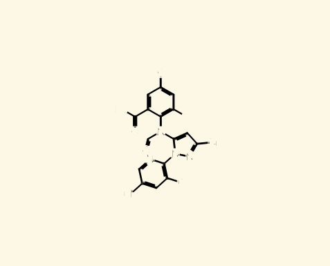 O=CN(c1c(Cl)cc(Cl)cc1C(=O)O)c1cc(Br)nn1-c1ncc(Cl)cc1Cl